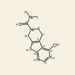 CN(C)C(=O)N1CCc2c(sc3ncnc(Cl)c23)C1